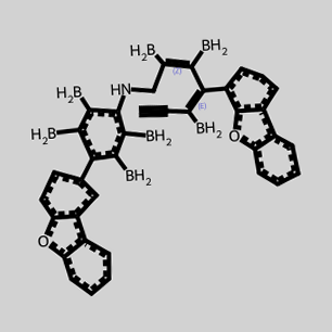 B/C(CNc1c(B)c(B)c(-c2ccc3oc4ccccc4c3c2)c(B)c1B)=C(B)/C(=C(/B)C#C)c1cccc2c1oc1ccccc12